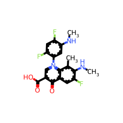 CNc1cc(-n2cc(C(=O)O)c(=O)c3cc(F)c(NC)c(C)c32)c(F)cc1F